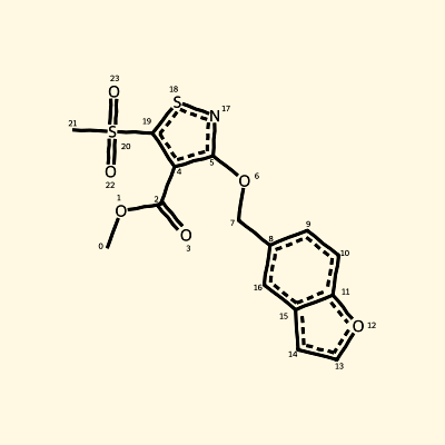 COC(=O)c1c(OCc2ccc3occc3c2)nsc1S(C)(=O)=O